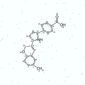 Cc1ccc2c(c1)C=C(c1ccc(-c3ccc(C(=O)O)cc3)[nH]1)CO2